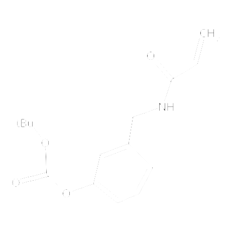 C=CC(=O)NCc1cccc(OC(=O)OC(C)(C)C)c1